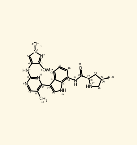 COc1nn(C)cc1Nc1ncc(C)c(-c2c[nH]c3c(NC(=O)[C@H]4C[C@@H](F)CN4)cccc23)n1